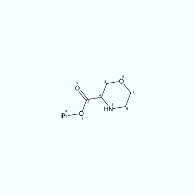 CC(C)OC(=O)C1COCCN1